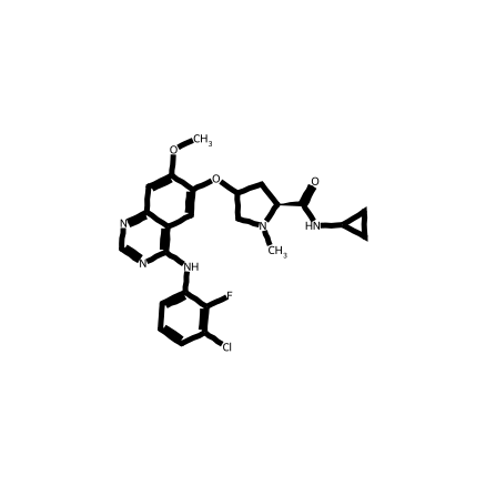 COc1cc2ncnc(Nc3cccc(Cl)c3F)c2cc1OC1C[C@@H](C(=O)NC2CC2)N(C)C1